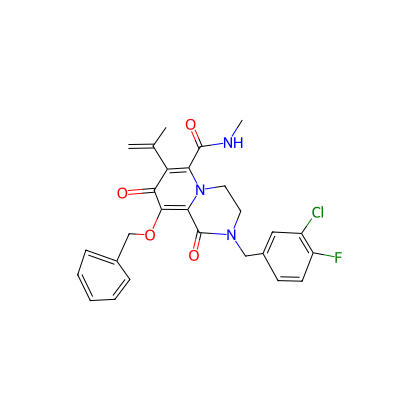 C=C(C)c1c(C(=O)NC)n2c(c(OCc3ccccc3)c1=O)C(=O)N(Cc1ccc(F)c(Cl)c1)CC2